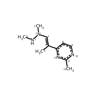 CNN(C)/C=C(\C)c1ccnc(C)n1